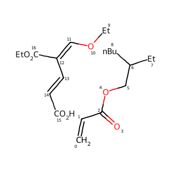 C=CC(=O)OCC(CC)CCCC.CCOC=C(C=CC(=O)O)C(=O)OCC